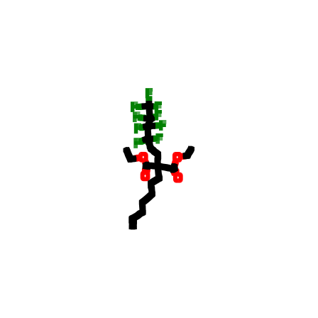 C=CCCCCCC(CCC(F)(F)C(F)(F)C(F)(F)C(F)(F)F)(C(=O)OCC)C(=O)OCC